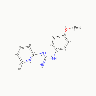 CCCCCOc1ccc(NC(=N)Nc2cccc(C)n2)cc1